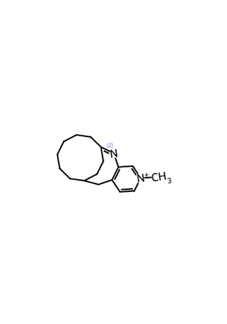 C[n+]1ccc2c(c1)/N=C1/CCCCCCC(CC1)C2